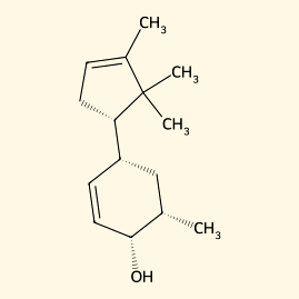 CC1=CC[C@@H]([C@H]2C=C[C@@H](O)[C@@H](C)C2)C1(C)C